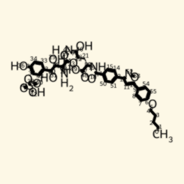 CCCCCOc1ccc(-c2cc(-c3ccc(C(=O)N[C@@H](C[C@@H](OC(=O)[C@@H](N)[C@H](O)[C@@H](O)c4ccc(O)c(OS(=O)(=O)O)c4)[C@H](N)O)C(=O)O)cc3)no2)cc1